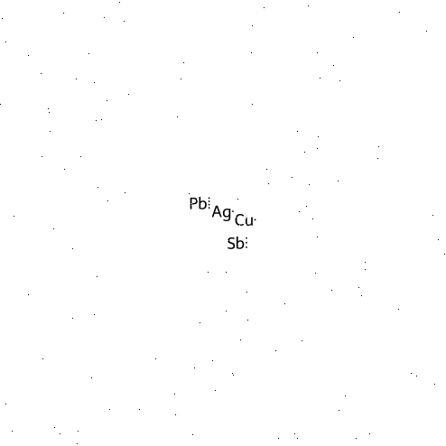 [Ag].[Cu].[Pb].[Sb]